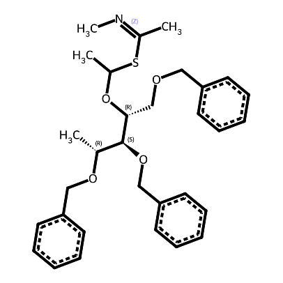 C/N=C(/C)SC(C)O[C@H](COCc1ccccc1)[C@@H](OCc1ccccc1)[C@@H](C)OCc1ccccc1